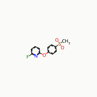 CS(=O)(=O)c1ccc(Oc2cccc(F)n2)cc1